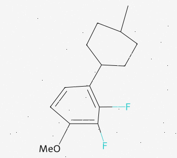 COc1ccc(C2CCC(C)CC2)c(F)c1F